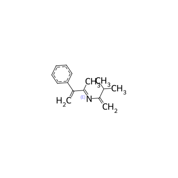 C=C(/C(C)=N/C(=C)C(C)C)c1ccccc1